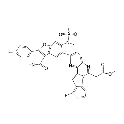 CNC(=O)c1c(-c2ccc(F)cc2)oc2cc(N(C)S(C)(=O)=O)c(-c3ccc4nc(CC(=O)OC)n5c6cccc(F)c6cc5c4n3)cc12